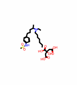 CCCCCCCN(CC)C(C)CCCc1ccc(NS(C)(=O)=O)cc1.O=C(O)CC(O)(CC(=O)O)C(=O)O